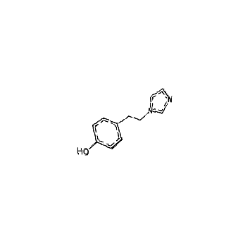 Oc1ccc(CCn2ccnc2)cc1